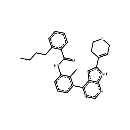 CCCCc1ccccc1C(=O)Nc1cccc(-c2ncnc3[nH]c(C4=CCSCC4)cc23)c1C